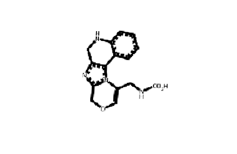 O=C(O)NCC1=COCc2nc3c(n21)-c1ccccc1NC3